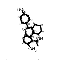 CC(=N)c1c(N)ccc2nc(-c3ccc(O)cc3)c3c(c12)CCCC3